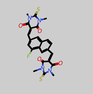 CN1C(=O)C(=Cc2cc(F)c3cc(C=C4C(=O)N(C)C(=S)N(C)C4=O)ccc3c2)C(=O)N(C)C1=S